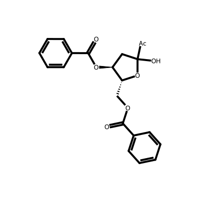 CC(=O)C1(O)C[C@H](OC(=O)c2ccccc2)[C@@H](COC(=O)c2ccccc2)O1